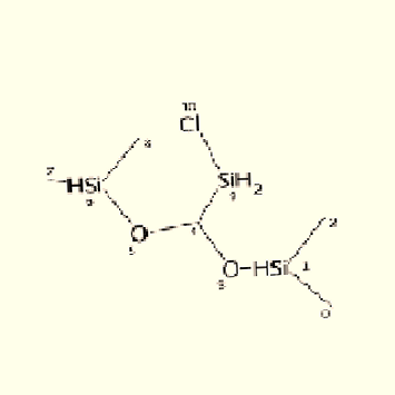 C[SiH](C)OC(O[SiH](C)C)[SiH2]Cl